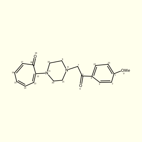 COc1ccc(C(=O)CN2CCN(c3cccccc3=O)CC2)cc1